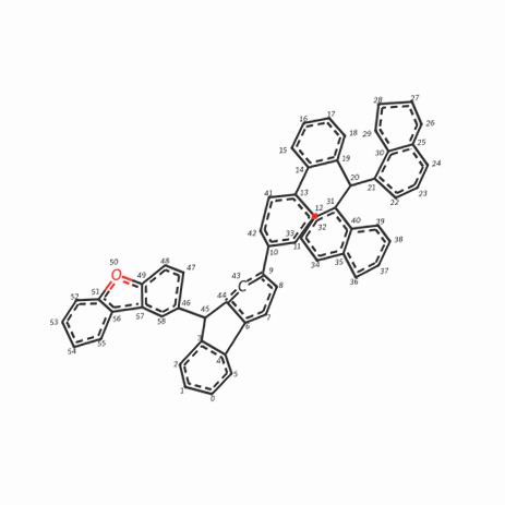 c1ccc2c(c1)-c1ccc(-c3ccc(-c4ccccc4C(c4cccc5ccccc45)c4cccc5ccccc45)cc3)cc1C2c1ccc2oc3ccccc3c2c1